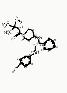 CC(C)(C)OC(=O)N1CCC(N[C@@H](CNc2ccc(F)cc2)c2ccccc2)CC1